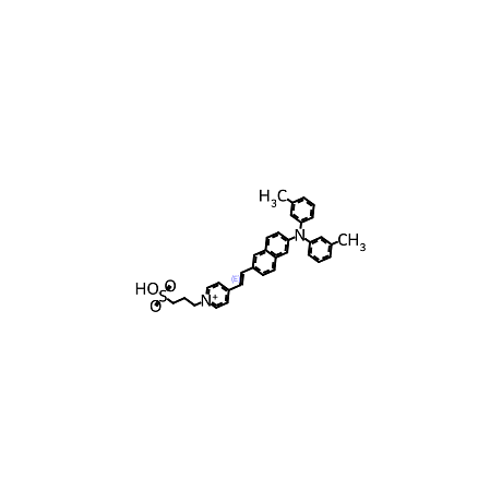 Cc1cccc(N(c2cccc(C)c2)c2ccc3cc(/C=C/c4cc[n+](CCCS(=O)(=O)O)cc4)ccc3c2)c1